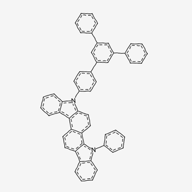 c1ccc(-c2cc(-c3ccccc3)cc(-c3ccc(-n4c5ccccc5c5c6ccc7c8ccccc8n(-c8ccccc8)c7c6ccc54)cc3)c2)cc1